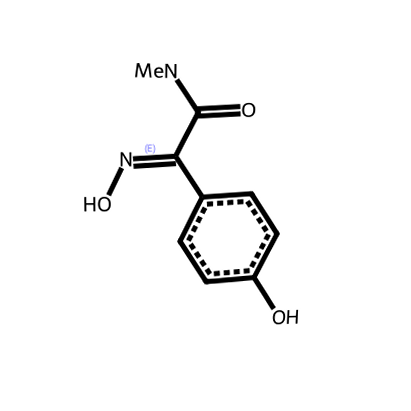 CNC(=O)/C(=N/O)c1ccc(O)cc1